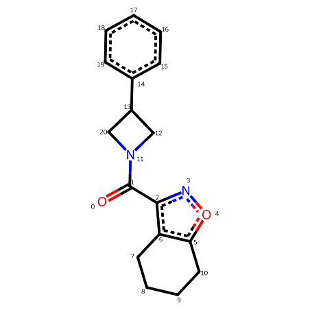 O=C(c1noc2c1CCCC2)N1CC(c2ccccc2)C1